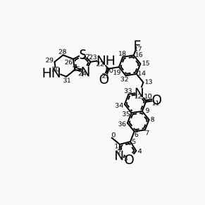 Cc1nocc1-c1ccc2c(=O)n(Cc3cc(F)cc(C(=O)Nc4nc5c(s4)CCNC5)c3)ccc2c1